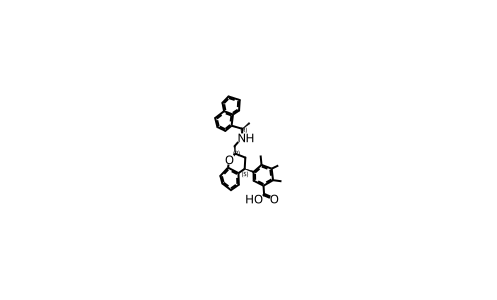 Cc1c(C(=O)O)cc([C@@H]2C[C@H](CN[C@H](C)c3cccc4ccccc34)Oc3ccccc32)c(C)c1C